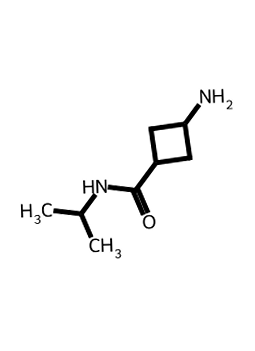 CC(C)NC(=O)C1CC(N)C1